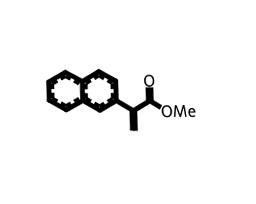 C=C(C(=O)OC)c1ccc2ccccc2c1